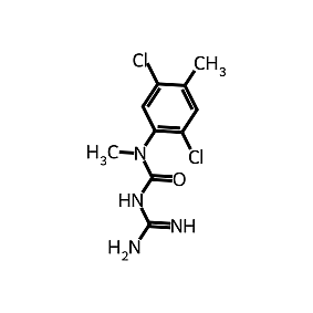 Cc1cc(Cl)c(N(C)C(=O)NC(=N)N)cc1Cl